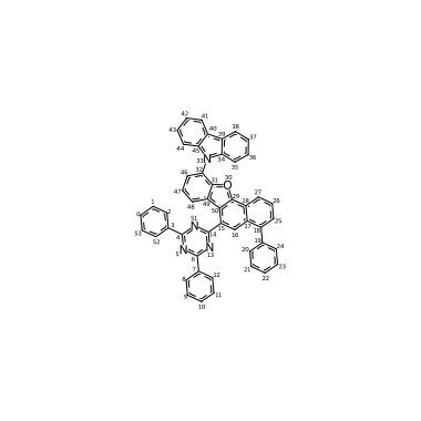 c1ccc(-c2nc(-c3ccccc3)nc(-c3cc4c(-c5ccccc5)cccc4c4oc5c(-n6c7ccccc7c7ccccc76)cccc5c34)n2)cc1